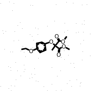 CCOc1ccc(OC(C)(C(=O)OC)C(=O)OC)cc1